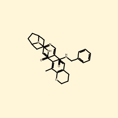 Cc1c(C(=O)NC2CC3CCC(C2)N3c2ccc(C(=O)NCc3ccccc3)cn2)ccc2c1OCCC2